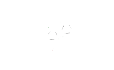 Clc1ccc(CBr)cc1Cl.Clc1ccc(Cl)c(Cl)c1